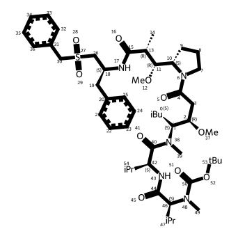 CC[C@H](C)[C@@H]([C@@H](CC(=O)N1CCC[C@H]1[C@H](OC)[C@@H](C)C(=O)N[C@@H](Cc1ccccc1)CS(=O)(=O)Cc1ccccc1)OC)N(C)C(=O)[C@@H](NC(=O)[C@H](C(C)C)N(C)C(=O)OC(C)(C)C)C(C)C